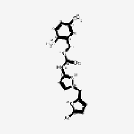 CC(=O)c1ccc(Cn2ccc(NC(=O)OCc3cc(C)ccc3C)n2)o1